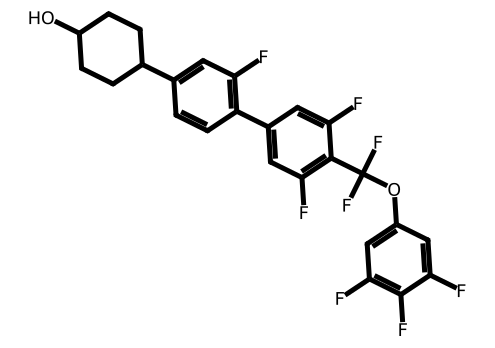 OC1CCC(c2ccc(-c3cc(F)c(C(F)(F)Oc4cc(F)c(F)c(F)c4)c(F)c3)c(F)c2)CC1